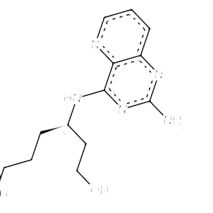 CCCC[C@H](CCO)Nc1nc(N)nc2cccnc12